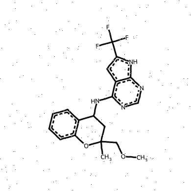 COCC1(C)CC(Nc2ncnc3[nH]c(C(F)(F)F)cc23)c2ccccc2O1